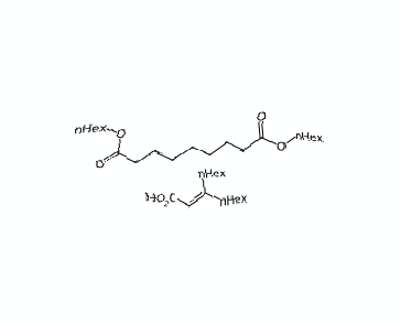 CCCCCCC(=CC(=O)O)CCCCCC.CCCCCCOC(=O)CCCCCCCC(=O)OCCCCCC